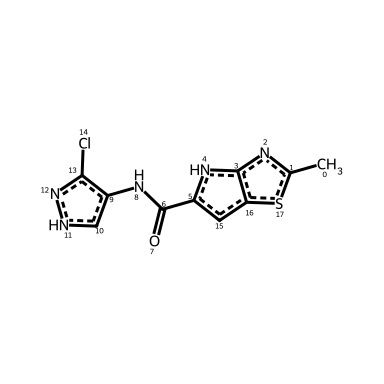 Cc1nc2[nH]c(C(=O)Nc3c[nH]nc3Cl)cc2s1